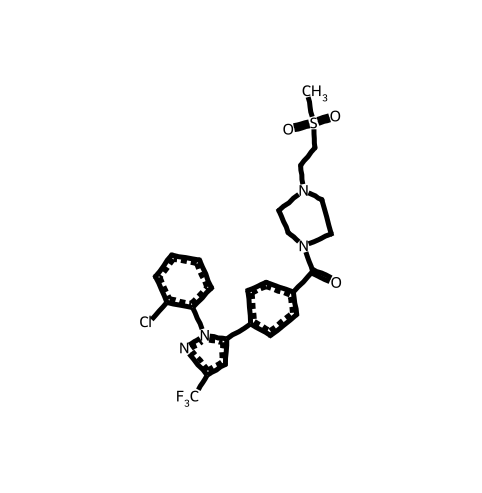 CS(=O)(=O)CCN1CCN(C(=O)c2ccc(-c3cc(C(F)(F)F)nn3-c3ccccc3Cl)cc2)CC1